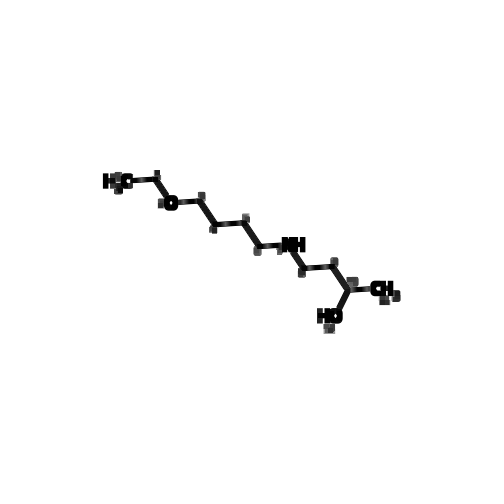 CCOCCCCNCCC(C)O